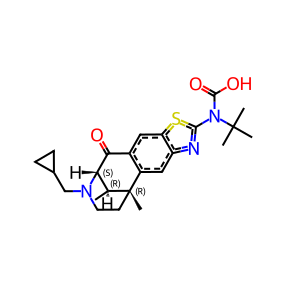 C[C@H]1[C@H]2C(=O)c3cc4sc(N(C(=O)O)C(C)(C)C)nc4cc3[C@]1(C)CCN2CC1CC1